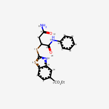 CCOC(=O)c1ccc2sc(SC(CC(N)=O)C(=O)Nc3ccccc3)nc2c1